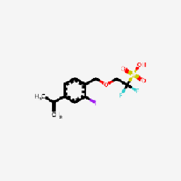 C=C(C)c1ccc(COCC(F)(F)S(=O)(=O)O)c(I)c1